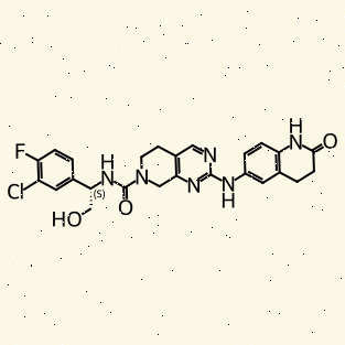 O=C1CCc2cc(Nc3ncc4c(n3)CN(C(=O)N[C@H](CO)c3ccc(F)c(Cl)c3)CC4)ccc2N1